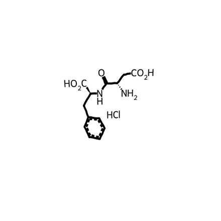 Cl.N[C@@H](CC(=O)O)C(=O)N[C@@H](Cc1ccccc1)C(=O)O